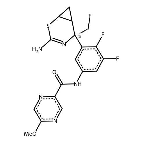 COc1cnc(C(=O)Nc2cc(F)c(F)c([C@@]3(CF)N=C(N)SC4CC43)c2)cn1